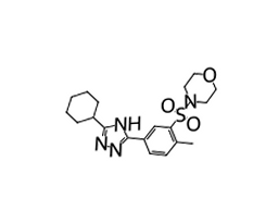 Cc1ccc(-c2nnc(C3CCCCC3)[nH]2)cc1S(=O)(=O)N1CCOCC1